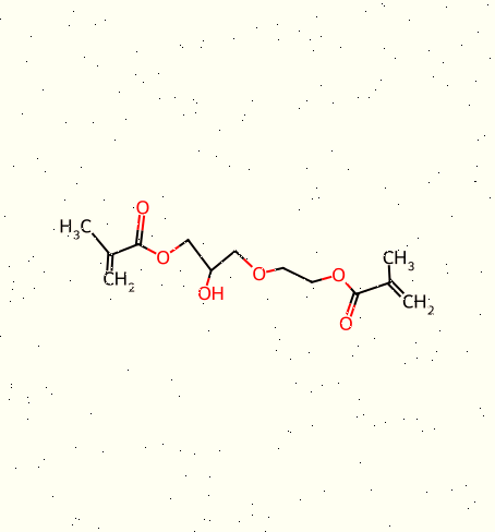 C=C(C)C(=O)OCCOCC(O)COC(=O)C(=C)C